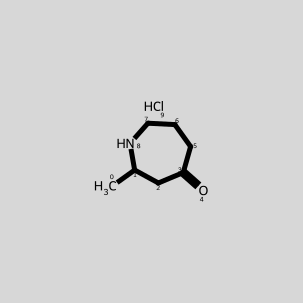 CC1CC(=O)CCCN1.Cl